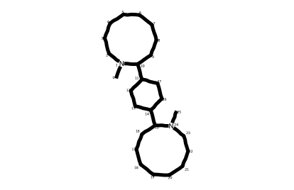 CN1CCCCCCCCC1C1CCC(C2CCCCCCCCN2C)CC1